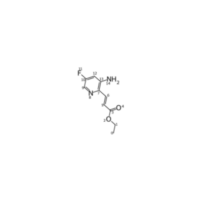 CCOC(=O)C=Cc1ncc(F)cc1N